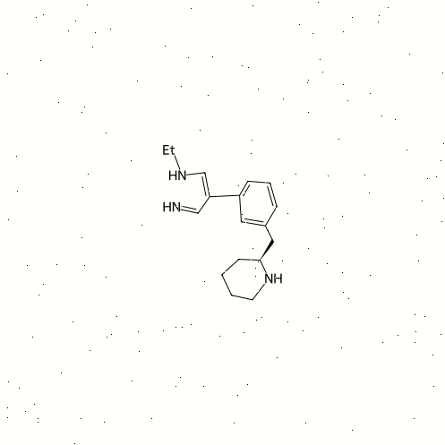 CCN/C=C(\C=N)c1cccc(C[C@@H]2CCCCN2)c1